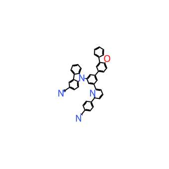 N#Cc1ccc(-c2cccc(-c3cc(-c4ccc5oc6ccccc6c5c4)cc(-n4c5ccccc5c5cc(C#N)ccc54)c3)n2)cc1